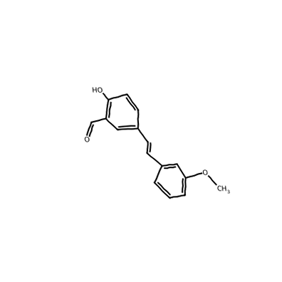 COc1cccc(/C=C/c2ccc(O)c(C=O)c2)c1